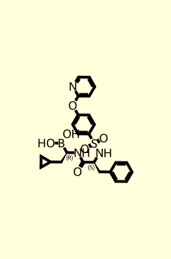 O=C(N[C@@H](CC1CC1)B(O)O)[C@H](Cc1ccccc1)NS(=O)(=O)c1ccc(Oc2ccccn2)cc1